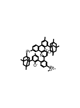 Cc1cc(-c2ccc(C(C)C)cc2-c2cc(C(F)(F)F)cc(-c3cc(C(C)C)ccc3-c3cc(C)cc(C45CC6(C)CC(C)(CC(C)(C6)C4)C5)c3[O-])n2)c([O-])c(C23CC4(C)CC(C)(CC(C)(C4)C2)C3)c1.[CH3][Zr+2][CH3]